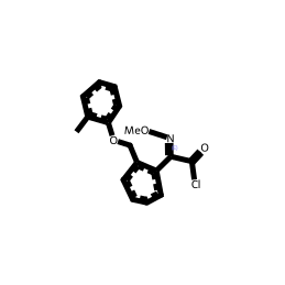 CO/N=C(/C(=O)Cl)c1ccccc1COc1ccccc1C